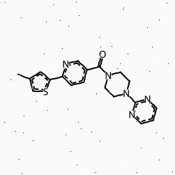 Cc1csc(-c2ccc(C(=O)N3CCN(c4ncccn4)CC3)cn2)c1